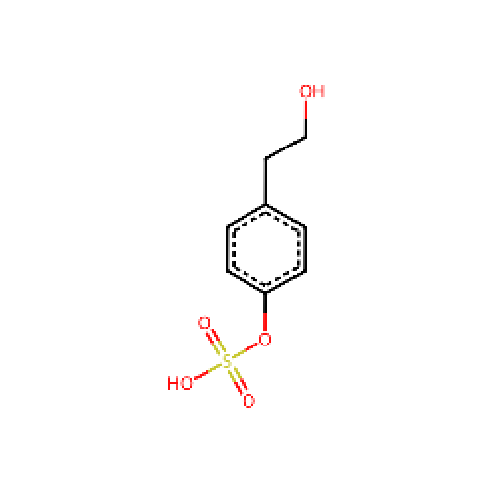 O=S(=O)(O)Oc1ccc(CCO)cc1